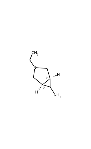 CCN1C[C@@H]2C(N)[C@@H]2C1